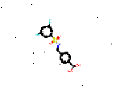 O=S(=O)(NCc1ccc(B(O)O)cc1)c1cc(F)cc(F)c1